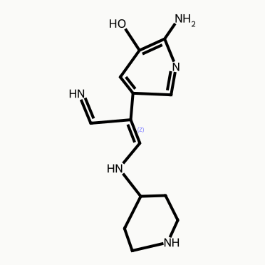 N=C/C(=C\NC1CCNCC1)c1cnc(N)c(O)c1